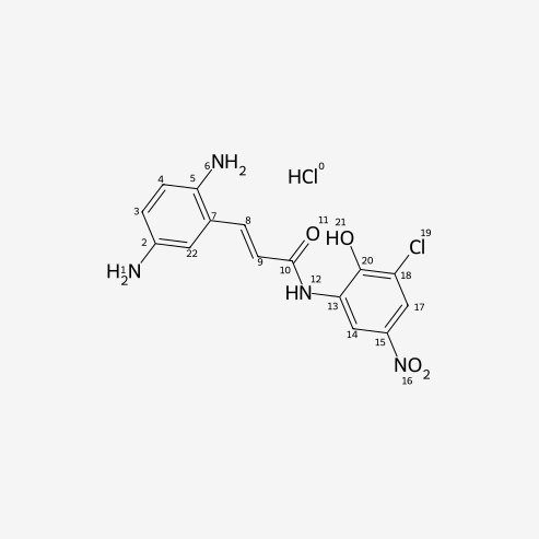 Cl.Nc1ccc(N)c(C=CC(=O)Nc2cc([N+](=O)[O-])cc(Cl)c2O)c1